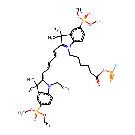 CCN1\C(=C/C=C/C=C/C2=[N+](CCCCCC(=O)OP(F)#P)c3ccc(P(=O)(OC)OC)cc3C2(C)C)C(C)(C)c2cc(P(=O)(OC)OC)ccc21